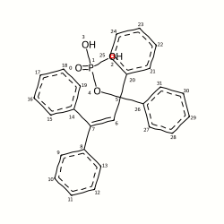 O=P(O)(O)OC(C=C(c1ccccc1)c1ccccc1)(c1ccccc1)c1ccccc1